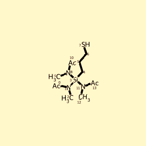 CC(=O)N(C)[Si](CCCS)(N(C)C(C)=O)N(C)C(C)=O